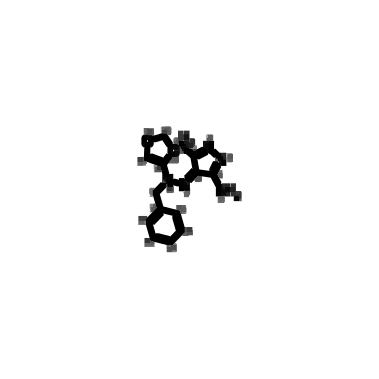 NC1=NN=C(N)C1=NN(Cc1ccccc1)C1=COCO1